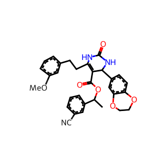 COc1cccc(CCC2=C(C(=O)OC(C)c3cccc(C#N)c3)C(c3ccc4c(c3)OCCO4)NC(=O)N2)c1